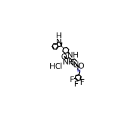 Cl.NC(=O)C(N[C@H]1CC[C@H](c2c[nH]c3ccccc32)CC1)C1CCN(C(=O)/C=C/c2cc(F)c(F)c(F)c2)CC1